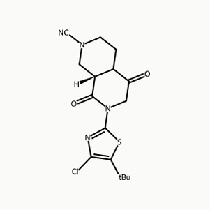 CC(C)(C)c1sc(N2CC(=O)C3CCN(C#N)C[C@H]3C2=O)nc1Cl